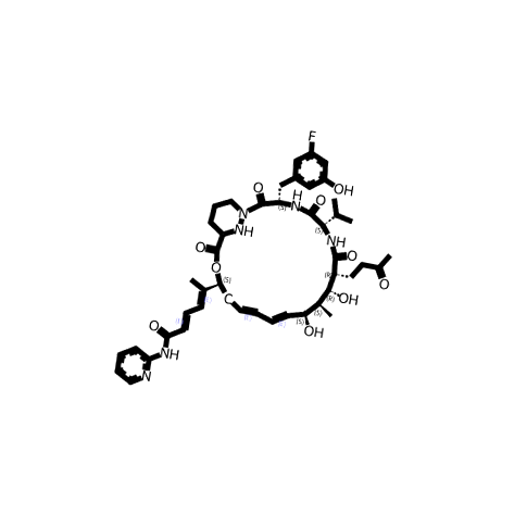 CC(=O)CC[C@H]1C(=O)N[C@@H](C(C)C)C(=O)N[C@@H](Cc2cc(O)cc(F)c2)C(=O)N2CCCC(N2)C(=O)O[C@H](/C(C)=C/C=C/C(=O)Nc2ccccn2)C/C=C/C=C/[C@H](O)[C@H](C)[C@H]1O